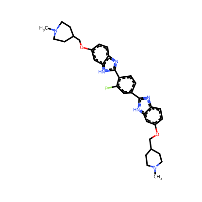 CN1CCC(COc2ccc3nc(-c4ccc(-c5nc6ccc(OCC7CCN(C)CC7)cc6[nH]5)c(F)c4)[nH]c3c2)CC1